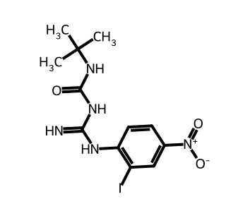 CC(C)(C)NC(=O)NC(=N)Nc1ccc([N+](=O)[O-])cc1I